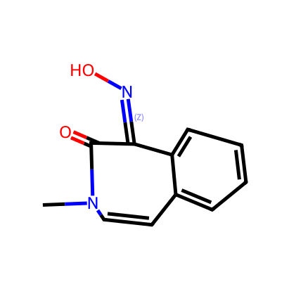 Cn1ccc2ccccc2/c(=N/O)c1=O